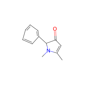 CC1=CC(=O)C(c2ccccc2)N1C